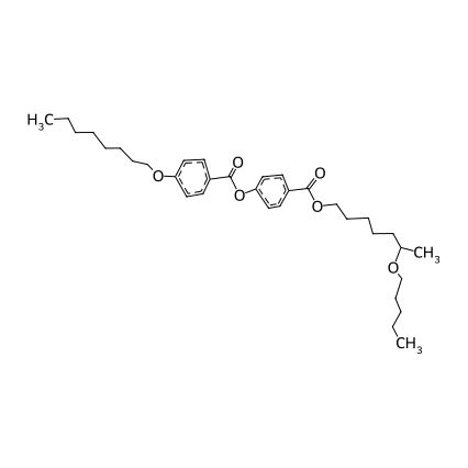 CCCCCCCCOc1ccc(C(=O)Oc2ccc(C(=O)OCCCCCC(C)OCCCCC)cc2)cc1